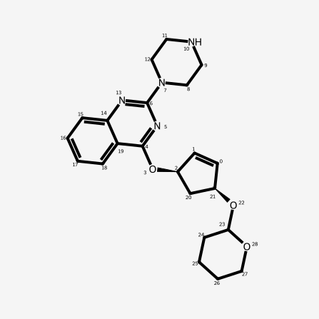 C1=C[C@H](Oc2nc(N3CCNCC3)nc3ccccc23)C[C@@H]1OC1CCCCO1